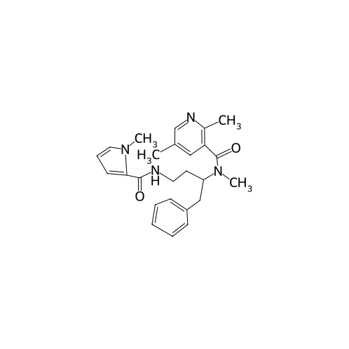 Cc1cnc(C)c(C(=O)N(C)C(CCNC(=O)c2cccn2C)Cc2ccccc2)c1